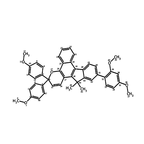 COc1ccc(C2(c3ccc(OC)cc3)C=Cc3c4c(c5ccccc5c3O2)-c2ccc(-c3ccc(OC)cc3OC)cc2C4(C)C)cc1